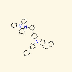 c1ccc(-c2ccc(N(c3ccc(-c4cccc(N5c6ccccc6N(c6ccccc6)c6ccccc65)c4)cc3)c3ccc4c(ccc5ccccc54)c3)cc2)cc1